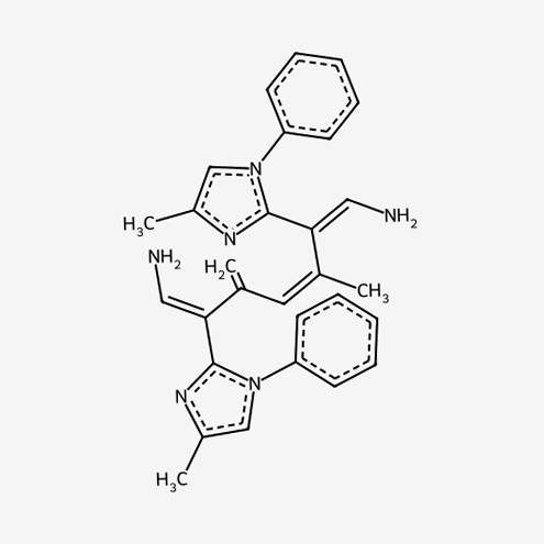 C=C(/C=C(C)\C(=C/N)c1nc(C)cn1-c1ccccc1)/C(=C\N)c1nc(C)cn1-c1ccccc1